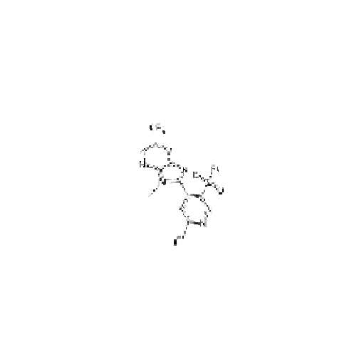 CCS(=O)(=O)c1nnc(Cl)cc1-c1nc2cc(C(F)(F)F)cnc2n1C